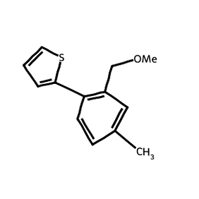 COCc1cc(C)ccc1-c1cccs1